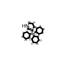 C1CCC([Si](C2CCCCC2)(C2CCCCC2)N2CCCNC2)CC1